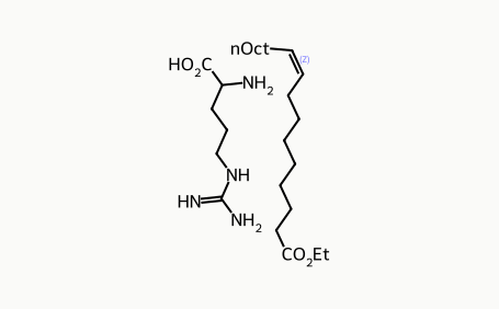 CCCCCCCC/C=C\CCCCCCCC(=O)OCC.N=C(N)NCCCC(N)C(=O)O